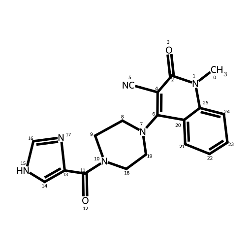 Cn1c(=O)c(C#N)c(N2CCN(C(=O)c3c[nH]cn3)CC2)c2ccccc21